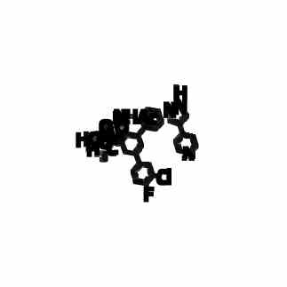 CC(=O)NO[As](=O)(OO)C1(C)C=C(c2ccccc2)C=C(c2ccc(F)c(Cl)c2)C1.c1cc(-c2cn[nH]c2)ccn1